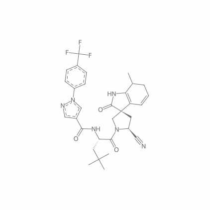 CC1CC=CC2=C1NC(=O)[C@]21C[C@@H](C#N)N(C(=O)[C@H](CC(C)(C)C)NC(=O)c2cnn(-c3ccc(C(F)(F)F)cc3)c2)C1